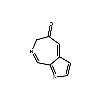 O=C1C=C2C=CN=C2C=NC1